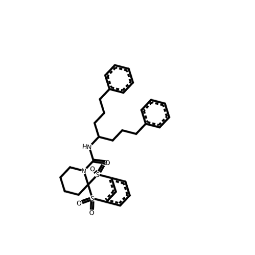 O=C(NC(CCCc1ccccc1)CCCc1ccccc1)N1CCCCC12S(=O)(=O)c1cccc(c1)S2(=O)=O